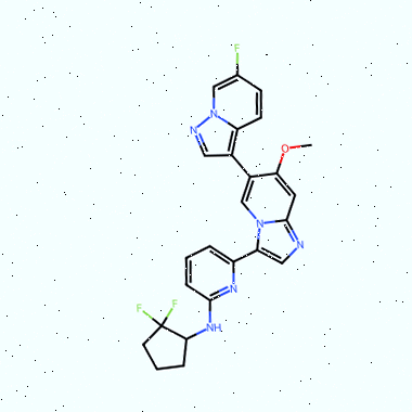 COc1cc2ncc(-c3cccc(NC4CCCC4(F)F)n3)n2cc1-c1cnn2cc(F)ccc12